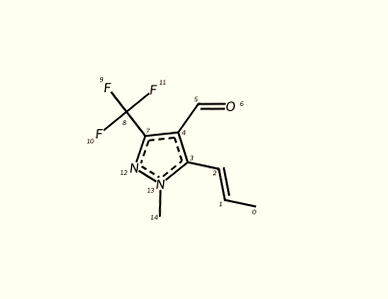 C/C=C/c1c(C=O)c(C(F)(F)F)nn1C